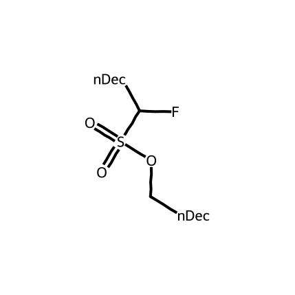 CCCCCCCCCCCOS(=O)(=O)C(F)CCCCCCCCCC